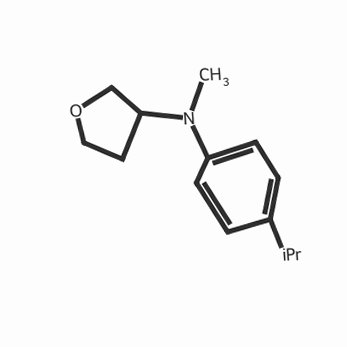 CC(C)c1ccc(N(C)C2CCOC2)cc1